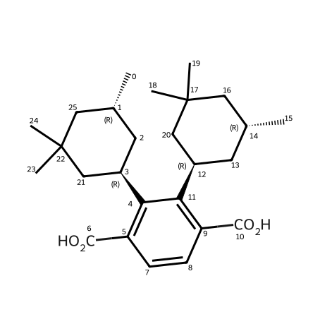 C[C@@H]1C[C@@H](c2c(C(=O)O)ccc(C(=O)O)c2[C@@H]2C[C@@H](C)CC(C)(C)C2)CC(C)(C)C1